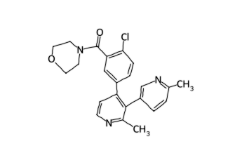 Cc1ccc(-c2c(-c3ccc(Cl)c(C(=O)N4CCOCC4)c3)ccnc2C)cn1